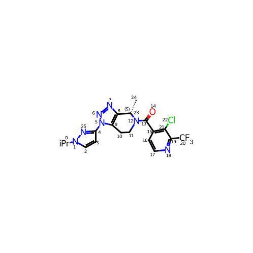 CC(C)n1ccc(-n2nnc3c2CCN(C(=O)c2ccnc(C(F)(F)F)c2Cl)[C@H]3C)n1